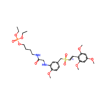 CCOP(=O)(OCC)OCCCCNC(=O)CNc1cc(CS(=O)(=O)/C=C/c2c(OC)cc(OC)cc2OC)ccc1OC